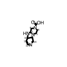 O=C(O)N1CCN2C(C1)NC1C=CN=CC12